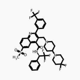 CS(=O)(=O)c1ccc2nc(-c3cccc(C(F)(F)F)c3)c(CN3CCC(N4CCC(F)(F)CC4)CC3)c(C(=O)N[C@H](c3ccccc3)C(F)(F)F)c2c1